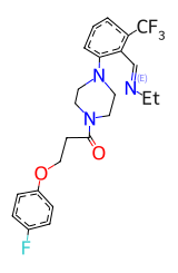 CC/N=C/c1c(N2CCN(C(=O)CCOc3ccc(F)cc3)CC2)cccc1C(F)(F)F